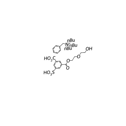 CCCC[N+](CCCC)(CCCC)Cc1ccccc1.O=C(O)c1cc(C(=O)OCCOCCO)cc(S(=O)(=O)O)c1